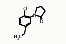 CCc1ccc(Cl)c(N2CCCC2=O)c1